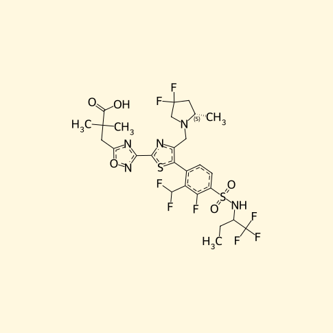 CCC(NS(=O)(=O)c1ccc(-c2sc(-c3noc(CC(C)(C)C(=O)O)n3)nc2CN2CC(F)(F)C[C@@H]2C)c(C(F)F)c1F)C(F)(F)F